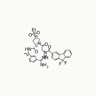 CCS(=O)(=O)[C@@H]1C[C@@H](C(=O)N[C@H](C)c2cc(C(=N)N)cs2)N(C(=O)CNC(=O)c2ccc3c(c2)-c2ccccc2C3(F)F)C1